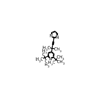 CC(C)(C)c1cc(C(C)(C)C#Cc2ncccn2)cc(C(C)(C)C)n1